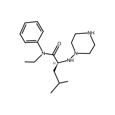 CCN(C(=O)[C@H](CC(C)C)NN1CCNCC1)c1ccccc1